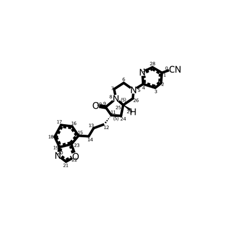 N#Cc1ccc(N2CCN3C(=O)[C@@H](CCCc4cccc5ncoc45)C[C@H]3C2)nc1